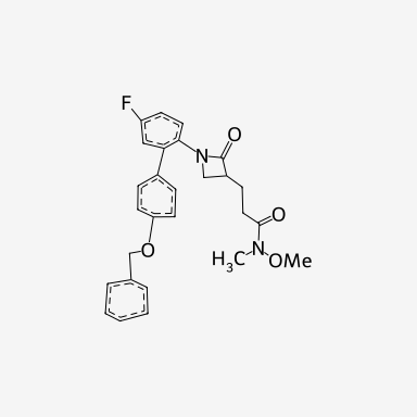 CON(C)C(=O)CCC1CN(c2ccc(F)cc2-c2ccc(OCc3ccccc3)cc2)C1=O